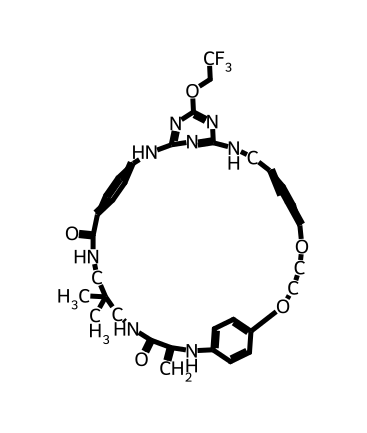 C=C1Nc2ccc(cc2)OCCOc2ccc(cc2)CNc2nc(nc(OCC(F)(F)F)n2)Nc2ccc(cc2)C(=O)NCC(C)(C)CNC1=O